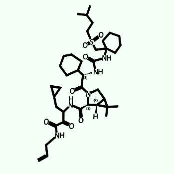 C=CCNC(=O)C(=O)C(CC1CC1)NC(=O)[C@@H]1[C@@H]2C(CN1C(=O)[C@@H](NC(=O)NC1(CS(=O)(=O)CCC(C)C)CCCCC1)C1CCCCC1)C2(C)C